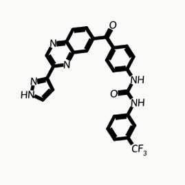 O=C(Nc1ccc(C(=O)c2ccc3ncc(-c4cc[nH]n4)nc3c2)cc1)Nc1cccc(C(F)(F)F)c1